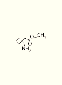 CCOC(=O)CC1(CN)CCC1